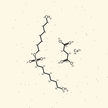 CCCCCCCCOS(=O)(=O)CCCCCCCC.O=C([O-])CCC(=O)[O-].[Ca+2]